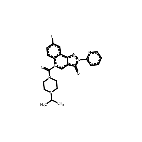 CC(C)N1CCN(C(=O)n2cc3c(=O)n(-c4ccccn4)nc-3c3cc(F)ccc32)CC1